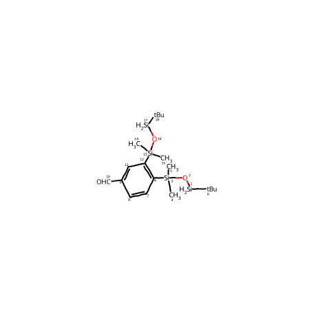 CC(C)(C)[SiH2]O[Si](C)(C)c1ccc(C=O)cc1[Si](C)(C)O[SiH2]C(C)(C)C